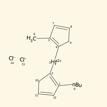 CCCCC1=[C]([Hf+2][C]2=C(C)C=CC2)CC=C1.[Cl-].[Cl-]